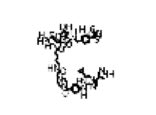 Cc1ncsc1-c1ccc(CNC(=O)[C@@H]2C[C@@H](O)CN2C(=O)[C@@H](NC(=O)CCCCNC(=O)CN2CCN(C(=O)c3ccc(Nc4nc(C5CC5)cn5c(-c6cn[nH]c6)cnc45)c(F)c3)CC2)C(C)(C)C)cc1